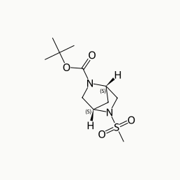 CC(C)(C)OC(=O)N1C[C@@H]2C[C@H]1CN2S(C)(=O)=O